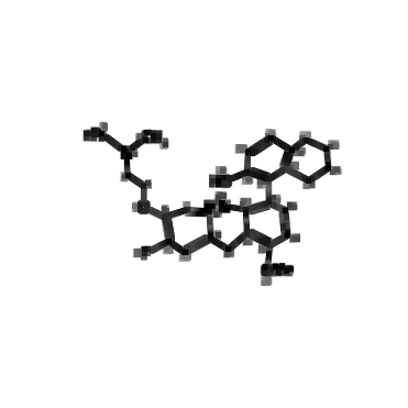 CCCN(C)CCOc1ccc(Cc2c(OC)ccc(-c3c(O)ccc4c3CCCC4)c2N)cc1F